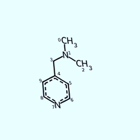 CN(C)Cc1ccncc1